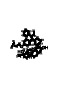 C#C[C@]1(O)CC[C@H]2[C@@H]3CCc4cc(O)ccc4[C@H]3CC[C@@]21C.CC/C(=C(\c1ccccc1)c1ccc(OCCN(C)C)cc1)c1ccccc1